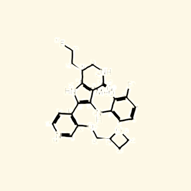 COc1c(F)cccc1Nc1c(-c2ccncc2OC[C@@H]2CCO2)[nH]c2c1C(=O)NC[C@@H]2CCF